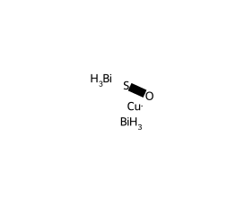 O=S.[BiH3].[BiH3].[Cu]